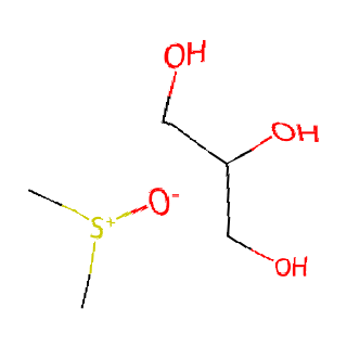 C[S+](C)[O-].OCC(O)CO